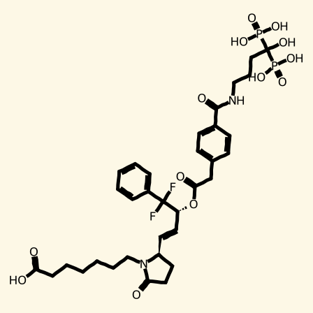 O=C(O)CCCCCCN1C(=O)CC[C@@H]1/C=C/[C@@H](OC(=O)Cc1ccc(C(=O)NCCCC(O)(P(=O)(O)O)P(=O)(O)O)cc1)C(F)(F)c1ccccc1